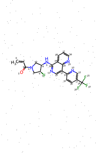 C=CC(=O)N1C[C@H](F)[C@H](Nc2ncc(-c3ccc(C(F)(F)F)cn3)c3ncccc23)C1